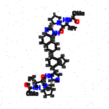 COC(=O)N[C@H](C(=O)N1CCC[C@H]1c1nc2ccc3cc(-c4ccc(-c5cnc([C@@H]6C7CCC(C7)N6C(=O)[C@@H](NC(=O)OC)C(C)C)[nH]5)c5c4CCC5)ccc3c2[nH]1)C(C)C